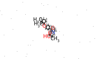 Cc1cccc(Oc2ccc(C3CN(CC(C)C(=O)O)CCO3)cc2)c1C